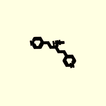 CNC(CCc1ccncc1)CCc1ccncc1